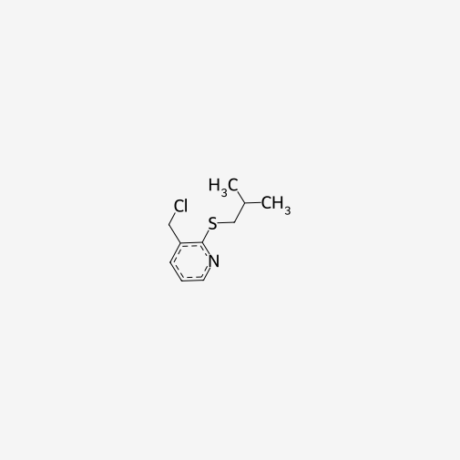 CC(C)CSc1ncccc1CCl